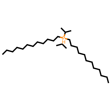 CCCCCCCCCCCC[PH](CCCCCCCCCCCC)(C(C)C)C(C)C